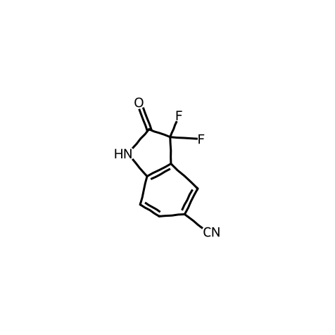 N#Cc1ccc2c(c1)C(F)(F)C(=O)N2